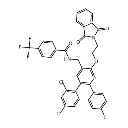 O=C(NCc1cc(-c2ccc(Cl)cc2Cl)c(-c2ccc(Cl)cc2)nc1OCCN1C(=O)c2ccccc2C1=O)c1ccc(C(F)(F)F)cc1